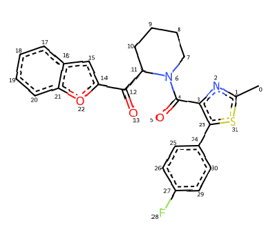 Cc1nc(C(=O)N2CCCCC2C(=O)c2cc3ccccc3o2)c(-c2ccc(F)cc2)s1